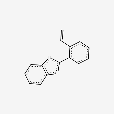 C=Cc1ccccc1-c1nc2ccccc2s1